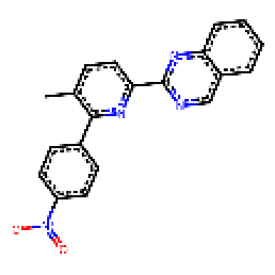 Cc1ccc(-c2ncc3ccccc3n2)nc1-c1ccc([N+](=O)[O-])cc1